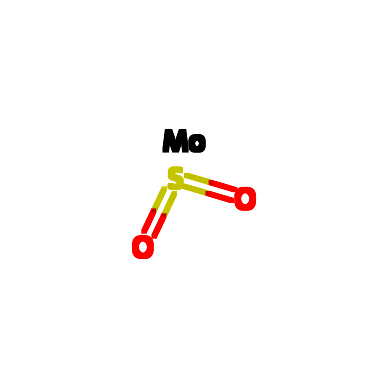 O=S=O.[Mo]